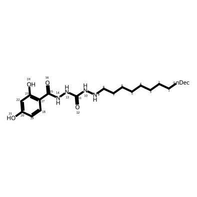 CCCCCCCCCCCCCCCCCCNNC(=O)NNC(=O)c1ccc(O)cc1O